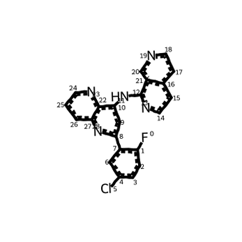 Fc1ccc(Cl)cc1-c1cc(Nc2nccc3ccncc23)c2ncccc2n1